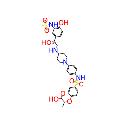 CC(Oc1ccc(S(=O)(=O)Nc2ccc(N3CCC(NC[C@@H](O)c4ccc(O)c(NS(C)(=O)=O)c4)CC3)cc2)cc1)C(=O)O